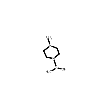 CB(O)N1CCN(C)CC1